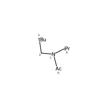 CC(=O)N(CC(C)(C)C)C(C)C